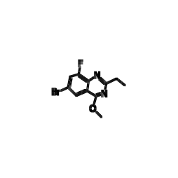 CCc1nc(OC)c2cc(Br)cc(F)c2n1